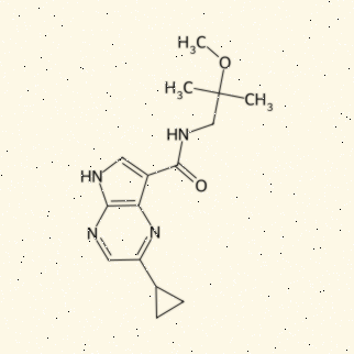 COC(C)(C)CNC(=O)c1c[nH]c2ncc(C3CC3)nc12